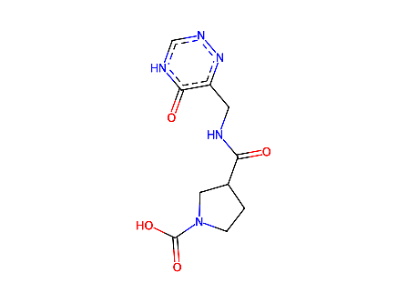 O=C(NCc1nnc[nH]c1=O)C1CCN(C(=O)O)C1